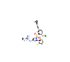 CNCc1cc(-c2ccccc2F)n(S(=O)(=O)c2cccc(C#CC3CC3)c2)c1.Cl